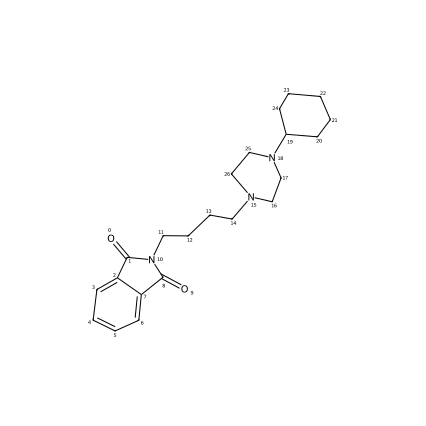 O=C1c2ccccc2C(=O)N1CCCCN1CCN(C2CCCCC2)CC1